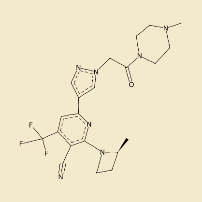 C[C@H]1CCN1c1nc(-c2cnn(CC(=O)N3CCN(C)CC3)c2)cc(C(F)(F)F)c1C#N